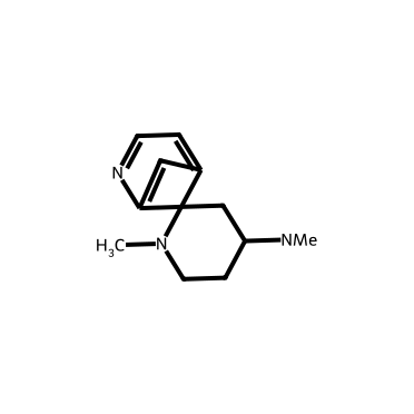 CNC1CCN(C)C2(C1)C1=CC=NC2=C1